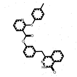 Cc1ccc(Sc2ncccc2C(=O)Oc2cccc(Cc3n[nH]c(=O)c4ccccc34)c2)cc1